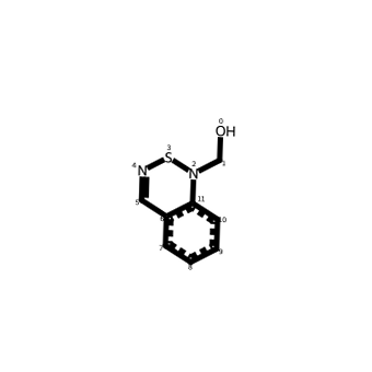 OCN1SN=Cc2ccccc21